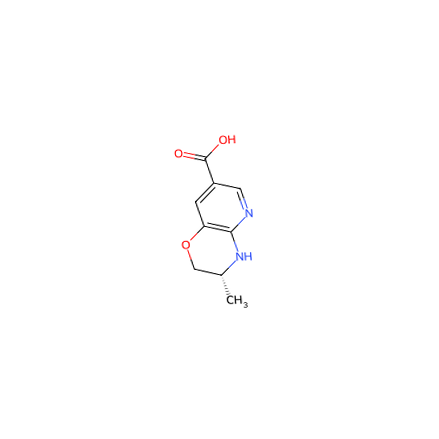 C[C@@H]1COc2cc(C(=O)O)cnc2N1